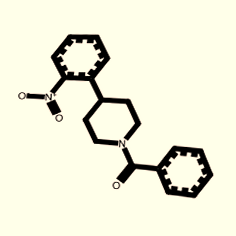 O=C(c1ccccc1)N1CCC(c2ccccc2[N+](=O)[O-])CC1